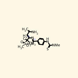 C=C(N)/C=C(\N=C(/N)c1ccc(NC(=S)NC)cc1)C(C)(C)S(C)(=O)=O